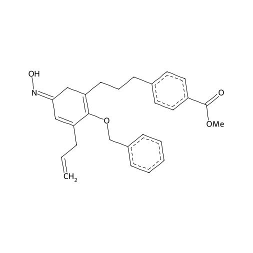 C=CCC1=CC(=NO)CC(CCCc2ccc(C(=O)OC)cc2)=C1OCc1ccccc1